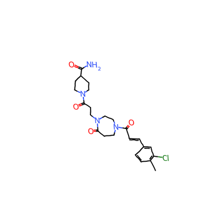 Cc1ccc(/C=C/C(=O)N2CCC(=O)N(CCC(=O)N3CCC(C(N)=O)CC3)CC2)cc1Cl